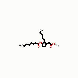 CCCCCCCC(=O)OC1CCC(CC(=O)OC)=C1CCCCC